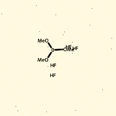 COB(OC)OC.F.F.F.F